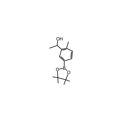 Cc1ccc(B2OC(C)(C)C(C)(C)O2)cc1C(C)O